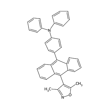 Cc1noc(C)c1-c1c2ccccc2c(-c2ccc(N(c3ccccc3)c3ccccc3)cc2)c2ccccc12